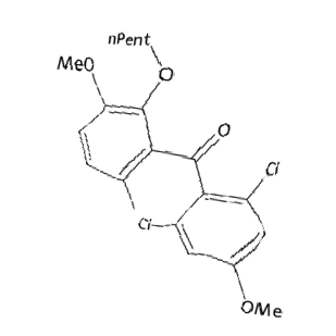 CCCCCOc1c(OC)ccc(C)c1C(=O)c1c(Cl)cc(OC)cc1Cl